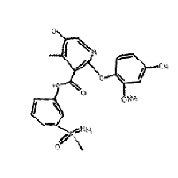 COc1cc(C#N)ccc1Oc1ncc(Cl)c(C)c1C(=O)Nc1cccc([S@](C)(=N)=O)c1